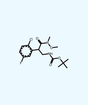 CON(C)C(=O)C(CNC(=O)OC(C)(C)C)c1cc(F)ccc1Cl